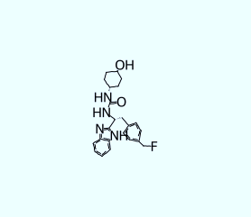 O=C(N[C@H](Cc1ccc(CF)cc1)c1nc2ccccc2[nH]1)N[C@H]1CC[C@H](O)CC1